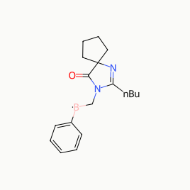 CCCCC1=NC2(CCCC2)C(=O)N1C[B]c1ccccc1